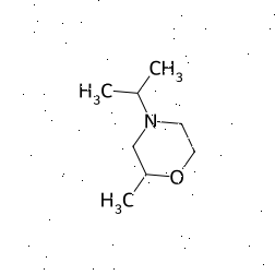 CC1CN(C(C)C)CCO1